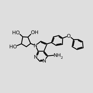 Nc1ncnc2c1c(-c1ccc(Oc3ccccc3)cc1)cn2C1CC(O)C(O)C1O